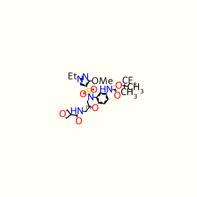 CCn1cc(S(=O)(=O)N2C[C@H](CNC(=O)C3COC3)Oc3ccc(NC(=O)OC(C)(C)C(F)(F)F)cc32)c(OC)n1